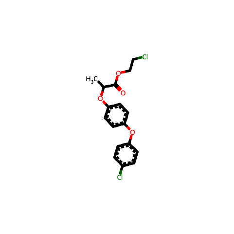 CC(Oc1ccc(Oc2ccc(Cl)cc2)cc1)C(=O)OCCCl